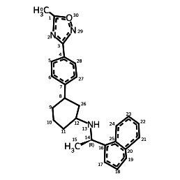 Cc1nc(-c2ccc(C3CCCC(N[C@H](C)c4cccc5ccccc45)C3)cc2)no1